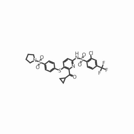 O=C(c1nc(NS(=O)(=O)c2ccc(C(F)(F)F)cc2Cl)ccc1Sc1ccc(S(=O)(=O)N2CCCC2)cc1)C1CC1